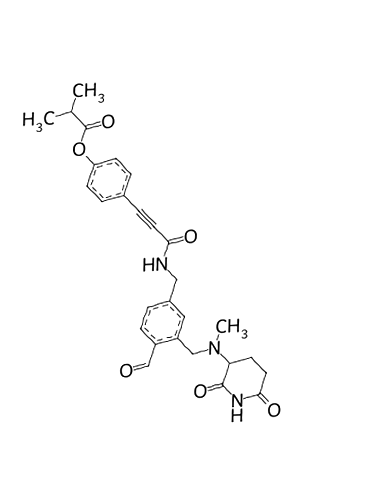 CC(C)C(=O)Oc1ccc(C#CC(=O)NCc2ccc(C=O)c(CN(C)C3CCC(=O)NC3=O)c2)cc1